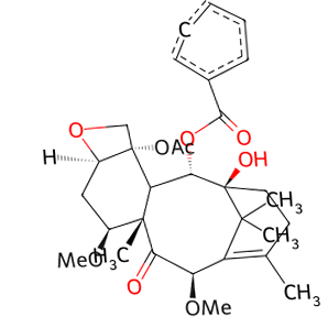 CO[C@H]1C(=O)[C@@]2(C)C([C@H](OC(=O)c3ccccc3)[C@]3(O)CCC(C)=C1C3(C)C)[C@]1(OC(C)=O)CO[C@@H]1C[C@@H]2OC